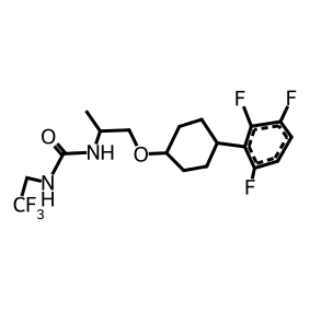 CC(COC1CCC(c2c(F)ccc(F)c2F)CC1)NC(=O)NCC(F)(F)F